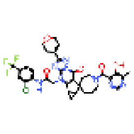 Cc1ncnc(C(=O)N2CCCC3(CC2)c2c(n(CC(=O)Nc4ccc(C(F)(F)F)cc4Cl)c4nc(C5=CCOCC5)nn4c2=O)C2CC23)c1O